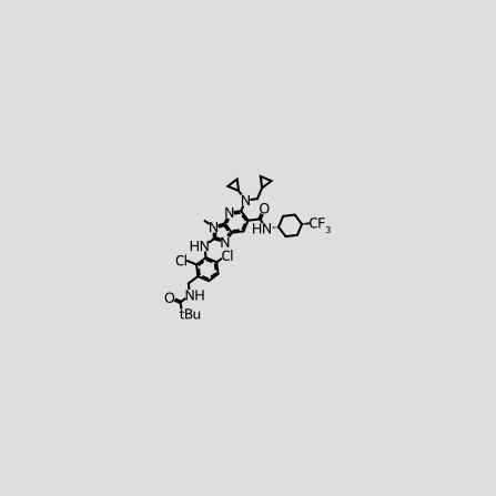 Cn1c(Nc2c(Cl)ccc(CNC(=O)C(C)(C)C)c2Cl)nc2cc(C(=O)N[C@H]3CC[C@H](C(F)(F)F)CC3)c(N(CC3CC3)C3CC3)nc21